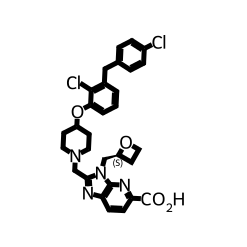 O=C(O)c1ccc2nc(CN3CCC(Oc4cccc(Cc5ccc(Cl)cc5)c4Cl)CC3)n(C[C@@H]3CCO3)c2n1